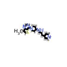 Cc1csc2c(N3CCC(NCCCc4ccncc4)CC3)ncnc12